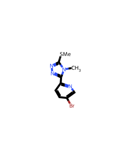 CSc1nnc(-c2ccc(Br)cn2)n1C